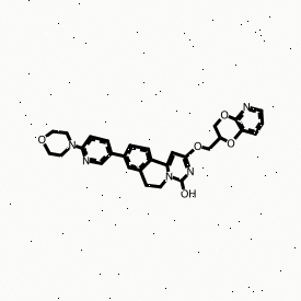 OC1N=C(OCC2COc3ncccc3O2)C=C2c3ccc(-c4ccc(N5CCOCC5)nc4)cc3CCN21